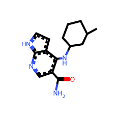 CC1CCCC(Nc2c(C(N)=O)cnc3[nH]ccc23)C1